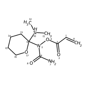 C=CC(=O)ON(C(N)=O)C1([SiH](C)C)CCCCO1